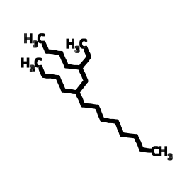 CCCCCCCCC(CCCC)CC(CC)CCCC